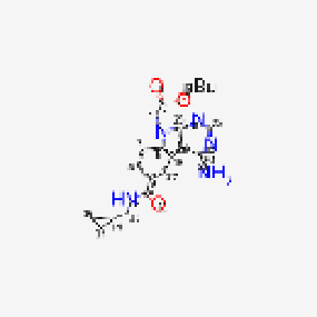 CCCCOC(=O)Cn1c2ccc(C(=O)NCC3CC3)cc2c2c(N)ncnc21